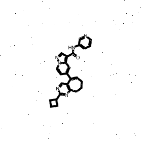 O=C(Nc1cccnc1)c1cnn2ccc(C3=CCCCc4nc(C5CCC5)ncc43)cc12